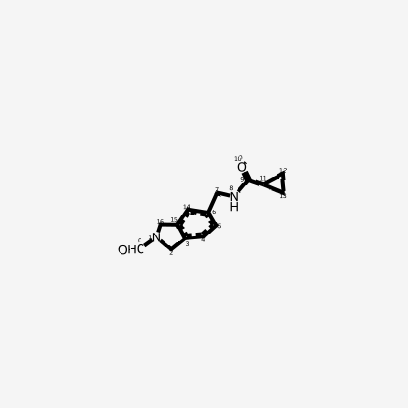 O=CN1Cc2ccc(CNC(=O)C3CC3)cc2C1